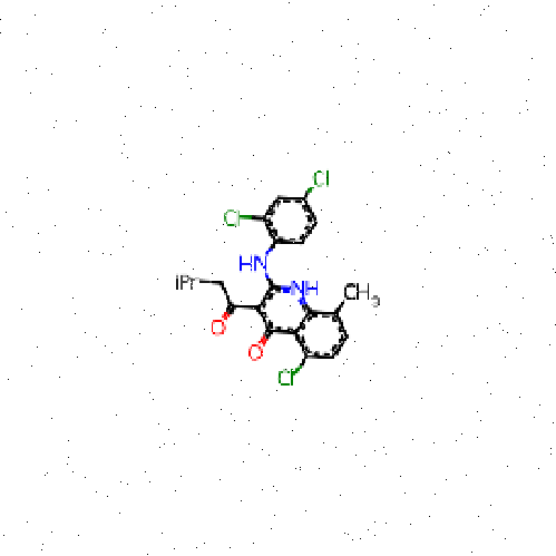 Cc1ccc(Cl)c2c(=O)c(C(=O)CC(C)C)c(Nc3ccc(Cl)cc3Cl)[nH]c12